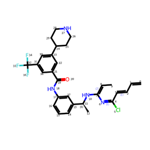 C=C/C=C/C(Cl)=N\C(=C/C)N[C@@H](C)c1cccc(NC(=O)c2cc(C3CCNCC3)cc(C(F)(F)F)c2)c1